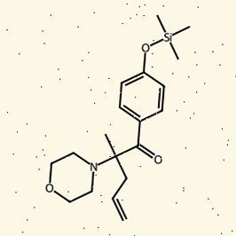 C=CCC(C)(C(=O)c1ccc(O[Si](C)(C)C)cc1)N1CCOCC1